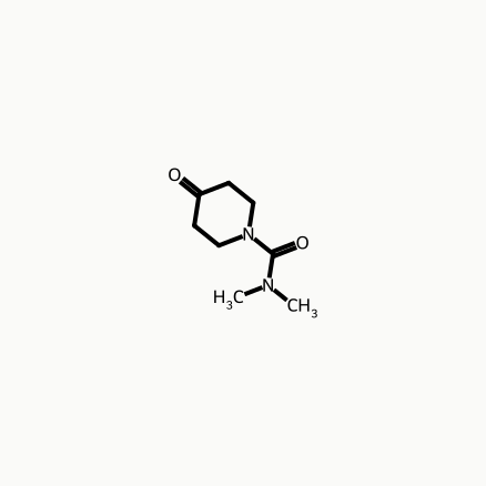 CN(C)C(=O)N1CCC(=O)CC1